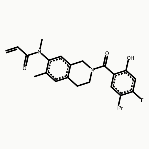 C=CC(=O)N(C)c1cc2c(cc1C)CCN(C(=O)c1cc(C(C)C)c(F)cc1O)C2